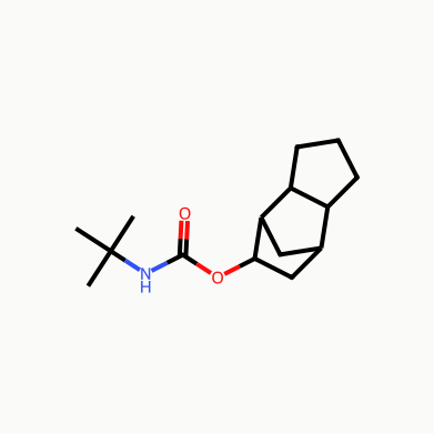 CC(C)(C)NC(=O)OC1CC2CC1C1CCCC21